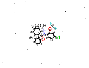 CC(C)c1ccccc1C1(C(=O)Nc2ccc(Cl)cc2OC(F)F)CCC(C)(C(=O)O)CC1